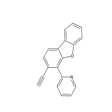 C#Cc1ccc2c(oc3ccccc32)c1-c1ccccn1